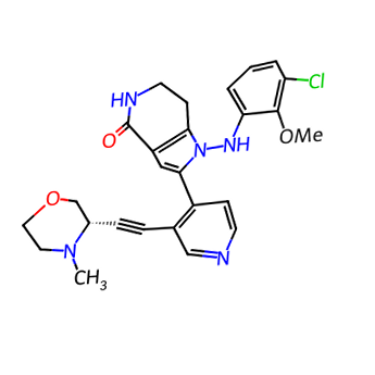 COc1c(Cl)cccc1Nn1c(-c2ccncc2C#C[C@H]2COCCN2C)cc2c1CCNC2=O